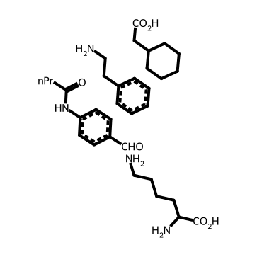 CCCC(=O)Nc1ccc(C=O)cc1.NCCCCC(N)C(=O)O.NCCc1ccccc1.O=C(O)CC1CCCCC1